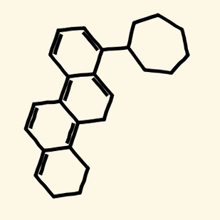 C1=c2ccc3c(c2CCC1)CC=c1c(C2CCCCCC2)cccc1=3